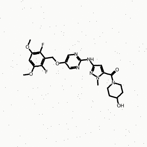 COc1cc(OC)c(F)c(COc2cnc(Nc3cc(C(=O)N4CCC(O)CC4)n(C)n3)nc2)c1F